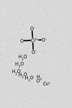 O.O.O.O.O.O.[Cu+].[O-][Cl+3]([O-])([O-])[O-]